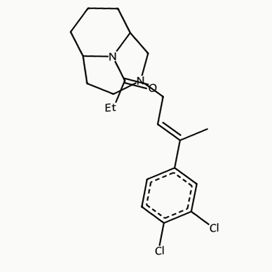 CCC(=O)N1C2CCCC1CN(C/C=C(\C)c1ccc(Cl)c(Cl)c1)CC2